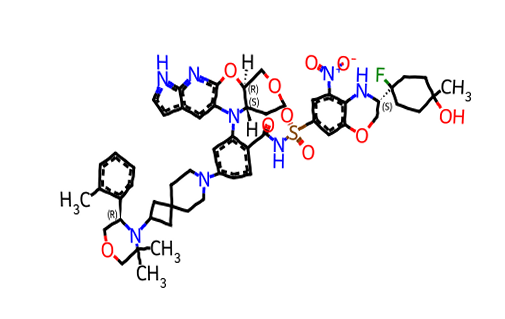 Cc1ccccc1[C@@H]1COCC(C)(C)N1C1CC2(CCN(c3ccc(C(=O)NS(=O)(=O)c4cc5c(c([N+](=O)[O-])c4)N[C@H](C4(F)CCC(C)(O)CC4)CO5)c(N4c5cc6cc[nH]c6nc5O[C@H]5COCC[C@@H]54)c3)CC2)C1